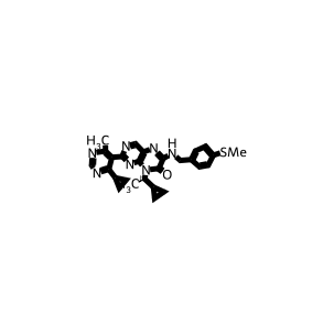 CSc1ccc(CNc2nc3cnc(-c4c(C)ncnc4C4CC4)nc3n([C@@H](C)C3CC3)c2=O)cc1